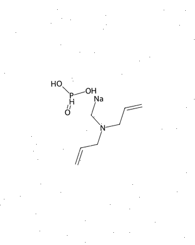 C=CCN([CH2][Na])CC=C.O=[PH](O)O